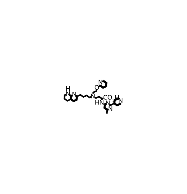 Cc1cc(NC(CCN(CCCCc2ccc3c(n2)NCCC3)CCOc2ccccn2)C(=O)O)nc(-c2ccncc2)n1